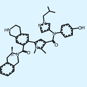 Cc1c(C(=O)N(c2ccc(O)cc2)c2cnn(CC(C)C)c2)cc(-c2cc3c(cc2C(=O)N2Cc4ccccc4C[C@H]2C)CNCC3)n1C